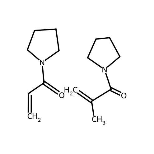 C=C(C)C(=O)N1CCCC1.C=CC(=O)N1CCCC1